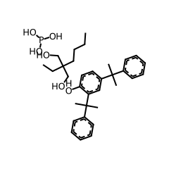 CC(C)(c1ccccc1)c1ccc(O)c(C(C)(C)c2ccccc2)c1.CCCCC(CC)(CO)CO.OP(O)O